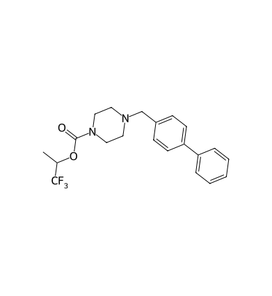 CC(OC(=O)N1CCN(Cc2ccc(-c3ccccc3)cc2)CC1)C(F)(F)F